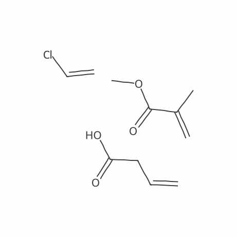 C=C(C)C(=O)OC.C=CCC(=O)O.C=CCl